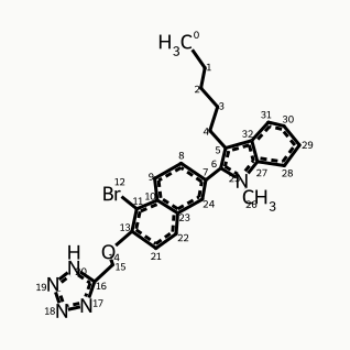 CCCCCc1c(-c2ccc3c(Br)c(OCc4nnn[nH]4)ccc3c2)n(C)c2ccccc12